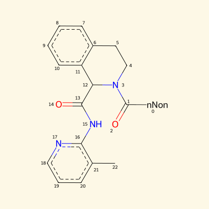 CCCCCCCCCC(=O)N1CCc2ccccc2C1C(=O)Nc1ncccc1C